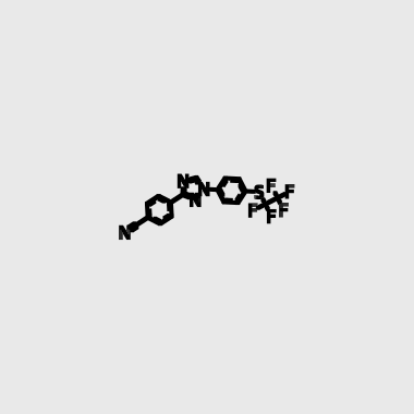 N#Cc1ccc(-c2ncn(-c3ccc(SC(F)(F)C(F)(F)F)cc3)n2)cc1